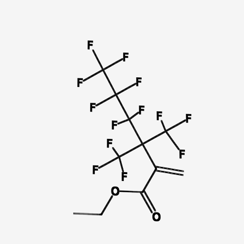 C=C(C(=O)OCC)C(C(F)(F)F)(C(F)(F)F)C(F)(F)C(F)(F)C(F)(F)F